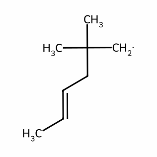 [CH2]C(C)(C)CC=CC